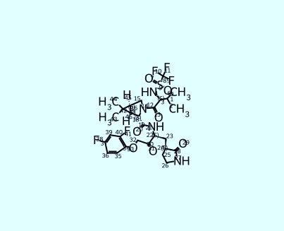 CC(C)[C@H](NS(=O)(=O)C(F)(F)F)C(=O)N1C[C@H]2[C@@H]([C@H]1C(=O)N[C@@H](C[C@@H]1CCNC1=O)C(=O)COc1ccc(F)cc1F)C2(C)C